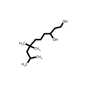 CC(C)CC(C)(C)CCCC(O)CCO